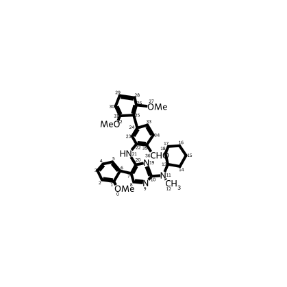 COc1ccccc1-c1cnc(N(C)C2CCCCC2)nc1Nc1cc(-c2c(OC)cccc2OC)ccc1C=O